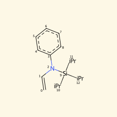 C=CN(c1ccccc1)[Si](C(C)C)(C(C)C)C(C)C